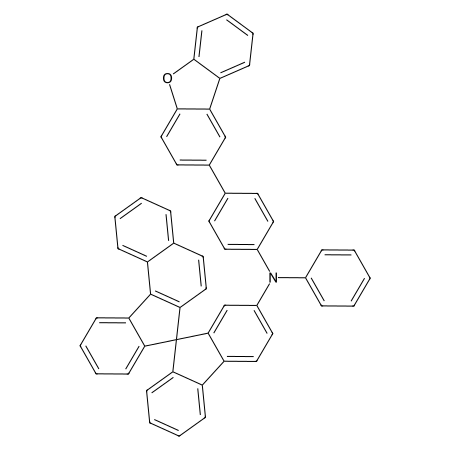 c1ccc(N(c2ccc(-c3ccc4oc5ccccc5c4c3)cc2)c2ccc3c(c2)C2(c4ccccc4-3)c3ccccc3-c3c2ccc2ccccc32)cc1